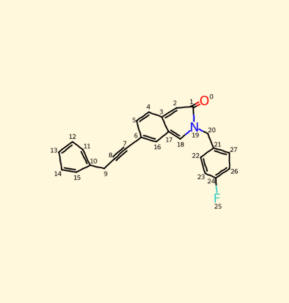 O=c1cc2ccc(C#CCc3ccccc3)cc2cn1Cc1ccc(F)cc1